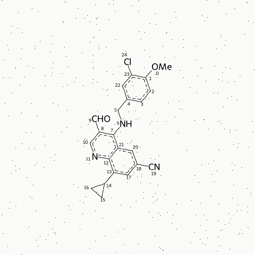 COc1ccc(CNc2c(C=O)cnc3c(C4CC4)cc(C#N)cc23)cc1Cl